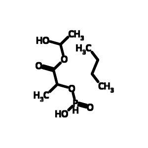 CC(O)OC(=O)C(C)O[PH](=O)O.CCCC